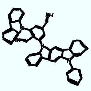 N=Cc1cc(-n2c3ccccc3c3ccccc32)c(C=N)c(-n2c3ccccc3c3cc4c(cc32)c2ccccc2n4-c2ccccc2)c1